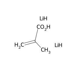 C=C(C)C(=O)O.[LiH].[LiH]